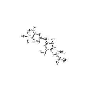 CNc1nc(Nc2cc(OC)c(C[C@H](N)C(=O)O)cc2Cl)ncc1C(F)(F)F